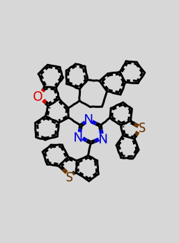 c1ccc2c(c1)-c1cc3ccccc3cc1CCC2c1c(-c2nc(-c3cccc4sc5ccccc5c34)nc(-c3cccc4sc5ccccc5c34)n2)c2ccccc2c2oc3ccccc3c12